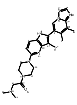 Cc1c(-c2[nH]c3ccc(N4CCN(C(=O)CN(C)C)CC4)nc3c2C(C)C)cn2ncnc2c1C